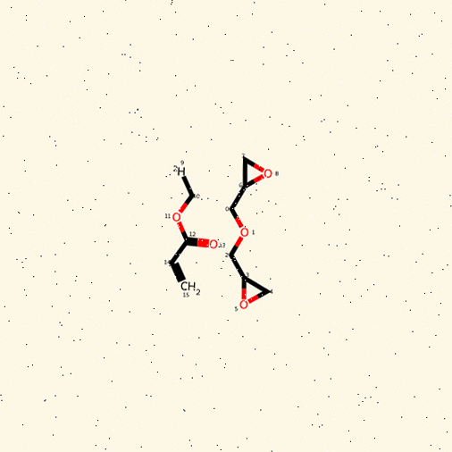 C(OCC1CO1)C1CO1.[2H]COC(=O)C=C